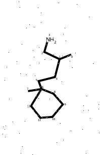 CC(CN)CCC1(C)CCCCC1